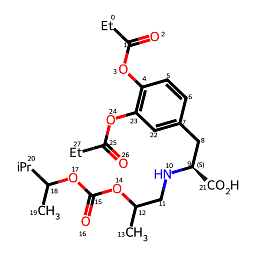 CCC(=O)Oc1ccc(C[C@H](NCC(C)OC(=O)OC(C)C(C)C)C(=O)O)cc1OC(=O)CC